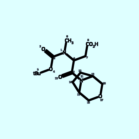 CN(C(=O)OC(C)(C)C)C(CC(=O)O)C(=O)N1C2CCC1COC2